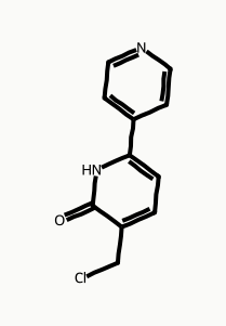 O=c1[nH]c(-c2ccncc2)ccc1CCl